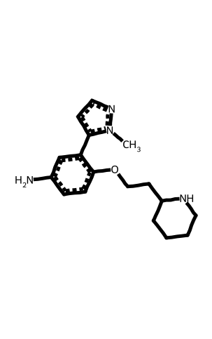 Cn1nccc1-c1cc(N)ccc1OCCC1CCCCN1